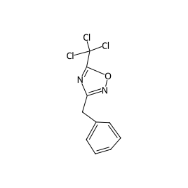 ClC(Cl)(Cl)c1nc(Cc2ccccc2)no1